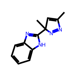 CC1=CC(C)(c2nc3ccccc3[nH]2)N=N1